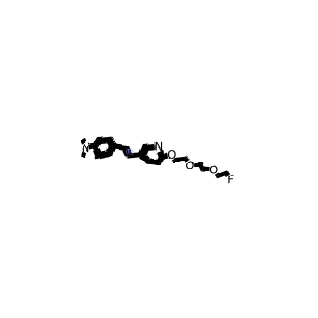 CN(C)c1ccc(/C=C/c2ccc(OCCOCCOCCF)nc2)cc1